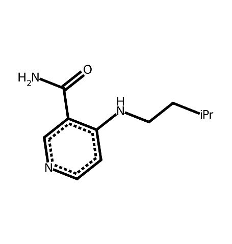 CC(C)CCNc1ccncc1C(N)=O